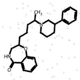 CC(CCCC1CNC(=O)c2ccccc2O1)N1CCCC(c2ccccc2)C1